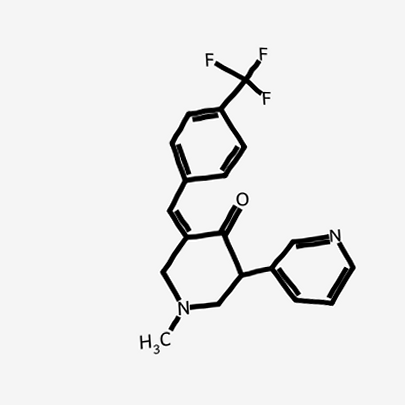 CN1CC(=Cc2ccc(C(F)(F)F)cc2)C(=O)C(c2cccnc2)C1